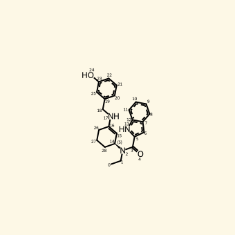 CCN(C(=O)c1cc2ccccc2[nH]1)[C@@H]1C=C(NCc2cccc(O)c2)CCC1